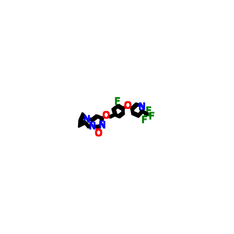 O=c1nc(OCc2ccc(Oc3ccc(C(F)(F)F)nc3)c(F)c2)cc2n1CC13CC1=CN23